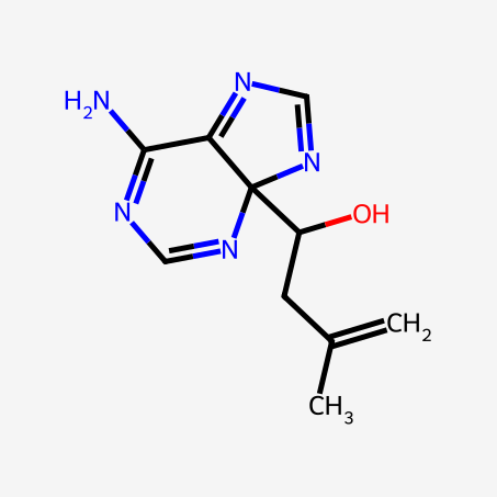 C=C(C)CC(O)C12N=CN=C(N)C1=NC=N2